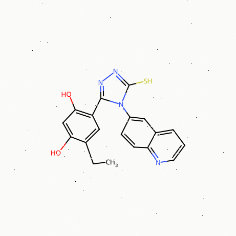 CCc1cc(-c2nnc(S)n2-c2ccc3ncccc3c2)c(O)cc1O